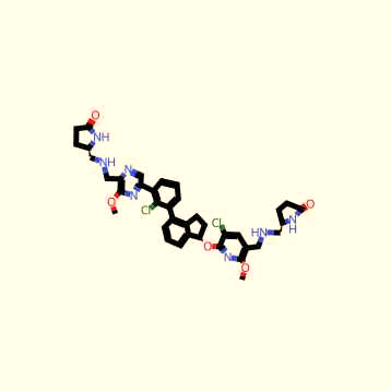 COc1nc(O[C@H]2CCc3c(-c4cccc(-c5cnc(CNC[C@@H]6CCC(=O)N6)c(OC)n5)c4Cl)cccc32)c(Cl)cc1CNC[C@@H]1CCC(=O)N1